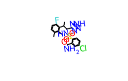 Cc1ccc(F)c(C(C)C(NS(=O)(=O)c2ccc(Cl)cc2C(N)=O)c2nn[nH]n2)c1C